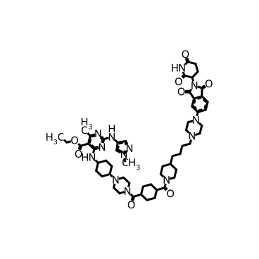 CCOC(=O)c1c(C)nc(Nc2cnn(C)c2)nc1NC1CCC(N2CCN(C(=O)C3CCC(C(=O)N4CCC(CCCCN5CCN(c6ccc7c(c6)C(=O)N(C6CCC(=O)NC6=O)C7=O)CC5)CC4)CC3)CC2)CC1